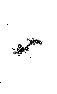 CCCC[S+]([O-])c1sc2nc(-c3cccc(CCCC[S+]([O-])c4sc5nc(-c6cccs6)ccc5c4N)c3)nc(-c3ccccc3)c2c1N